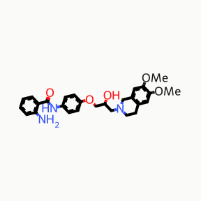 COc1cc2c(cc1OC)CN(CC(O)COc1ccc(NC(=O)c3ccccc3N)cc1)CC2